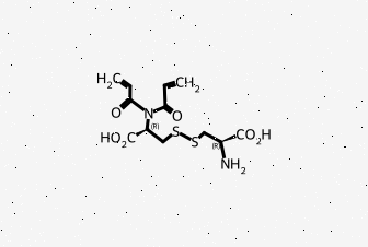 C=CC(=O)N(C(=O)C=C)[C@@H](CSSC[C@H](N)C(=O)O)C(=O)O